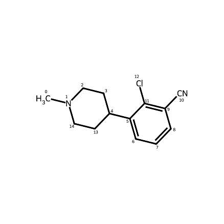 CN1CCC(c2cccc(C#N)c2Cl)CC1